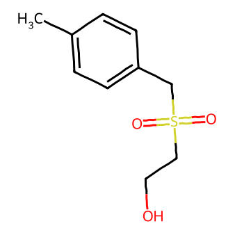 Cc1ccc(CS(=O)(=O)CCO)cc1